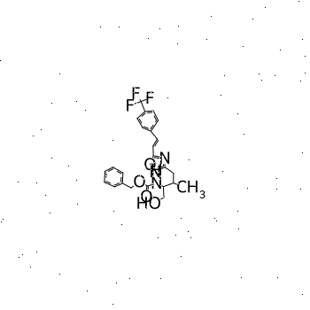 CC(Cc1noc(C=Cc2ccc(C(F)(F)F)cc2)n1)C(CO)NC(=O)OCc1ccccc1